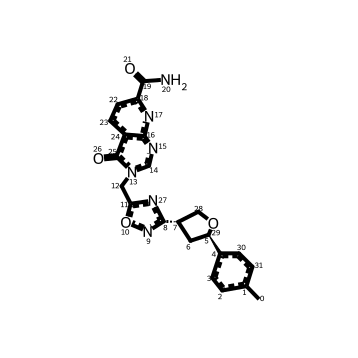 Cc1ccc([C@H]2C[C@H](c3noc(Cn4cnc5nc(C(N)=O)ccc5c4=O)n3)CO2)cc1